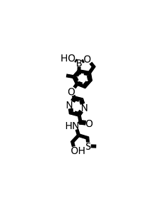 CSCC(CO)NC(=O)c1cnc(Oc2ccc3c(c2C)B(O)OC3)cn1